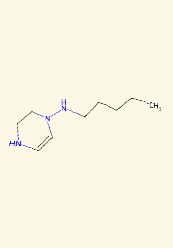 CCCCCNN1C=CNCC1